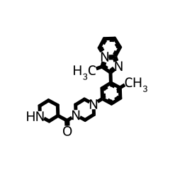 Cc1ccc(N2CCN(C(=O)C3CCCNC3)CC2)cc1-c1nc2ccccn2c1C